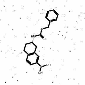 O=C(N[C@H]1CCc2ccc(B(O)O)cc2C1)OCc1ccccc1